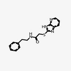 O=C(CSc1nc2cccnc2[nH]1)NCCc1ccccc1